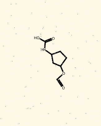 O=COC1CCC(NC(=O)O)C1